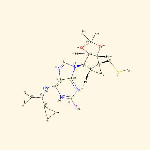 CSC[C@@]12C[C@@H]1[C@@H](n1cnc3c(NC(C4CC4)C4CC4)nc(I)nc31)[C@@H]1OC(C)(C)O[C@@H]12